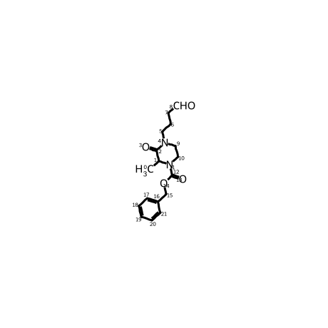 CC1C(=O)N(CCCC=O)CCN1C(=O)OCc1ccccc1